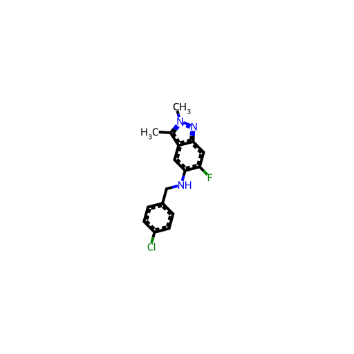 Cc1c2cc(NCc3ccc(Cl)cc3)c(F)cc2nn1C